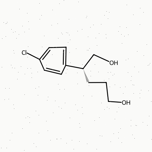 OCCC[C@@H](CO)c1ccc(Cl)cc1